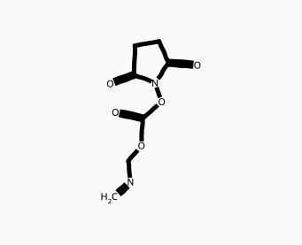 C=NCOC(=O)ON1C(=O)CCC1=O